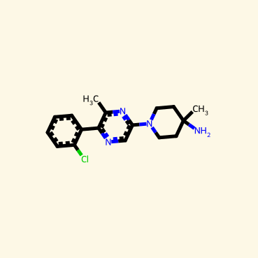 Cc1nc(N2CCC(C)(N)CC2)cnc1-c1ccccc1Cl